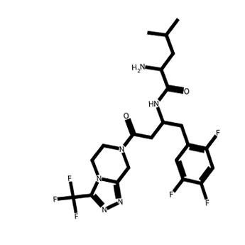 CC(C)CC(N)C(=O)NC(CC(=O)N1CCn2c(nnc2C(F)(F)F)C1)Cc1cc(F)c(F)cc1F